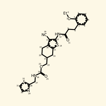 CCOc1ccccc1CCC(=O)Nc1sc2c(c1C#N)CCC(COC(=O)NCc1nccs1)C2